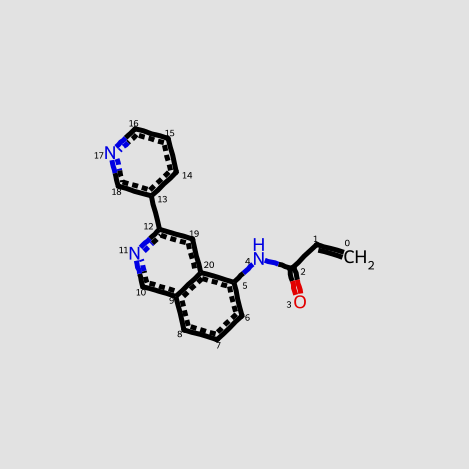 C=CC(=O)Nc1cccc2cnc(-c3cccnc3)cc12